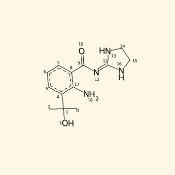 CC(C)(O)c1cccc(C(=O)N=C2NCCN2)c1N